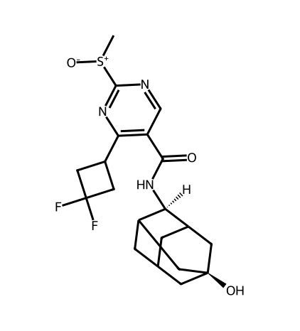 C[S+]([O-])c1ncc(C(=O)N[C@H]2C3CC4CC2C[C@@](O)(C4)C3)c(C2CC(F)(F)C2)n1